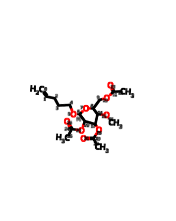 C=CCCCO[C@@H]1OC(COC(C)=O)C(OC)C(OC(C)=O)C1OC(C)=O